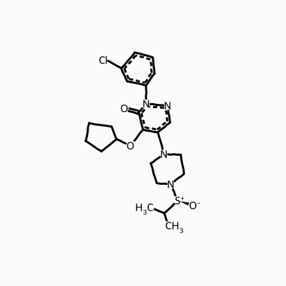 CC(C)[S@+]([O-])N1CCN(c2cnn(-c3cccc(Cl)c3)c(=O)c2OC2CCCC2)CC1